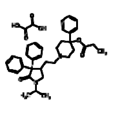 CCC(=O)OC1(c2ccccc2)CCN(CCC2CN(C(C)C)C(=O)C2(c2ccccc2)c2ccccc2)CC1.O=C(O)C(=O)O